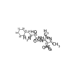 Cc1nn(C)c(NNC(=O)C(O)[C@H](N)CC2CCCCC2)c1[N+](=O)[O-]